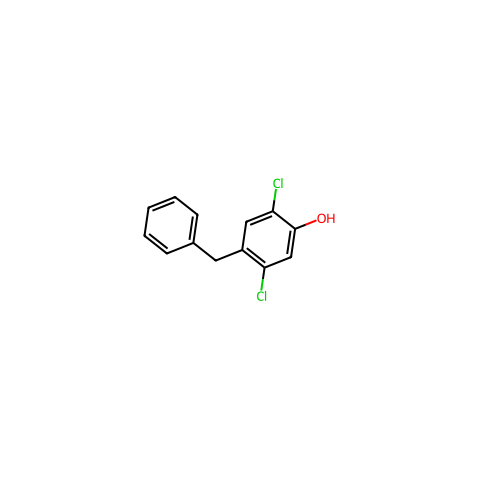 Oc1cc(Cl)c(Cc2ccccc2)cc1Cl